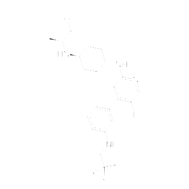 COC[C@H](C)N[C@H]1CC[C@H](Nc2cc(-c3cccc(NCC4(OC)CC4)c3)c(F)cn2)CC1